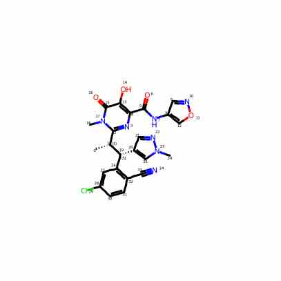 C[C@H](c1nc(C(=O)Nc2cnoc2)c(O)c(=O)n1C)[C@H](c1cnn(C)c1)c1cc(Cl)ccc1C#N